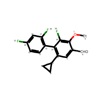 CCOc1c(C=O)cc(C2CC2)c(-c2ccc(F)cc2F)c1F